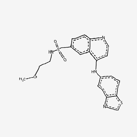 COCCNS(=O)(=O)c1ccc2nccc(Nc3ccc4scnc4c3)c2c1